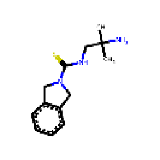 CC(C)(N)CNC(=S)N1Cc2ccccc2C1